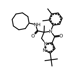 Cc1cccc(N2C(=O)c3cc(C(C)(C)C)nn3CC2(C)C(=O)NC2CCCCCCC2)c1C